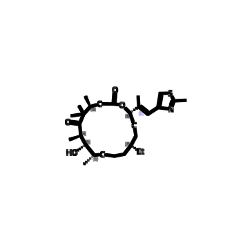 CC[C@@H]1CCC[C@H](C)[C@H](O)[C@@H](C)C(=O)C(C)(C)[C@@H](C)CC(=O)O[C@H](/C(C)=C/c2csc(C)n2)CC1